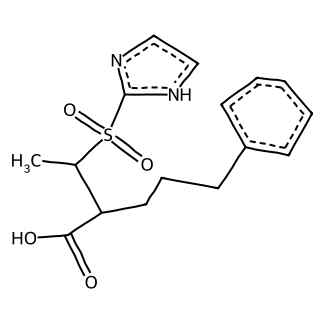 CC(C(CCCc1ccccc1)C(=O)O)S(=O)(=O)c1ncc[nH]1